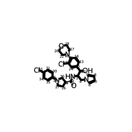 O=C(NC(Cn1cccc1)C(O)c1ccc(N2CCOCC2)c(Cl)c1)[C@H]1CCN(c2ccc(Cl)cc2)C1